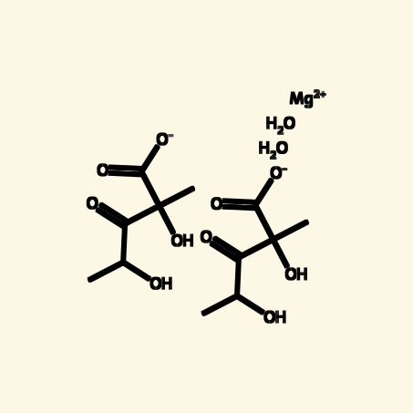 CC(O)C(=O)C(C)(O)C(=O)[O-].CC(O)C(=O)C(C)(O)C(=O)[O-].O.O.[Mg+2]